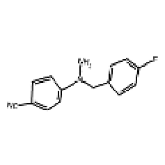 N#Cc1ccc(N(N)Cc2ccc(F)cc2)cc1